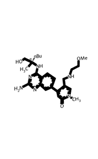 CCCC[C@](C)(CO)Nc1nc(N)nc2cc(-c3cc(=O)n(C)cc3CNCCOC)ccc12